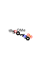 COc1cc(CCC(C)(C)N2Cc3cccc(S(C)(=O)=O)c3C2)ccc1O[Si](C)(C)C(C)(C)C